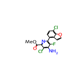 COC(=O)c1nc(-c2ccc(Cl)c3occc23)c(F)c(N)c1Cl